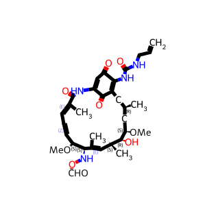 C=CCNC(=O)NC1=C2C[C@@H](C)C[C@H](OC)[C@H](O)[C@@H](C)/C=C(\C)[C@H](NOC=O)[C@@H](OC)/C=C\C=C(/C)C(=O)NC(=CC1=O)C2=O